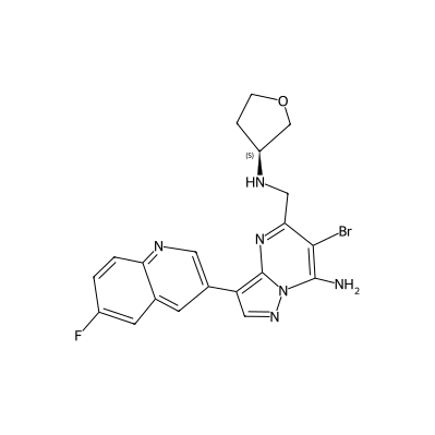 Nc1c(Br)c(CN[C@H]2CCOC2)nc2c(-c3cnc4ccc(F)cc4c3)cnn12